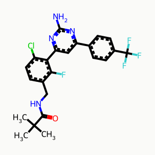 CC(C)(C)C(=O)NCc1ccc(Cl)c(-c2cc(-c3ccc(C(F)(F)F)cc3)nc(N)n2)c1F